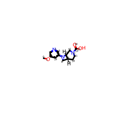 COc1cncc(N2C[C@H]3CCN(C(=O)O)C[C@H]32)c1